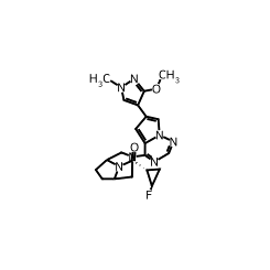 COc1nn(C)cc1-c1cc2c(N3CC4CCC(C3)N4C(=O)[C@@H]3C[C@H]3F)ncnn2c1